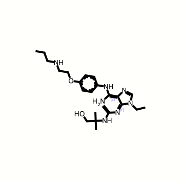 C=C(/N=C1\C(=C(/N)Nc2ccc(OCCNCCC)cc2)N=CN1CC)NC(C)(C)CO